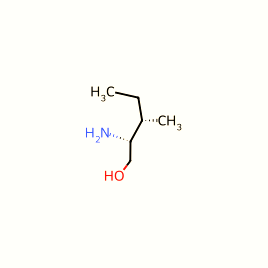 CC[C@H](C)[C@@H](N)CO